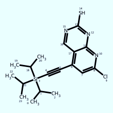 CC(C)[Si](C#Cc1cc(Cl)nc2nc(S)ncc12)(C(C)C)C(C)C